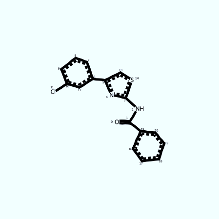 O=C(Nc1nc(-c2cccc(Cl)c2)cs1)c1ccccc1